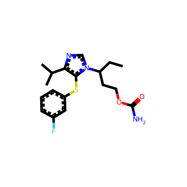 CCC(CCOC(N)=O)n1cnc(C(C)C)c1Sc1cccc(F)c1